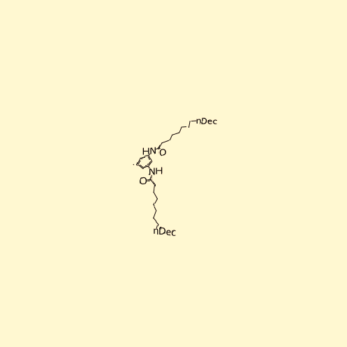 CCCCCCCCCCCCCCCCCC(=O)Nc1c[c]cc(NC(=O)CCCCCCCCCCCCCCCCC)c1